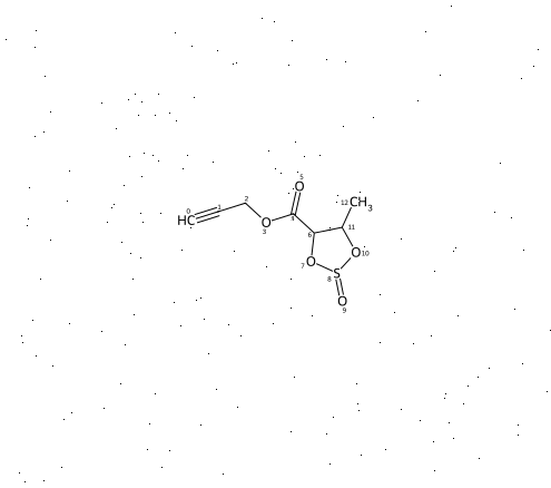 C#CCOC(=O)C1OS(=O)OC1C